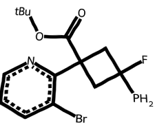 CC(C)(C)OC(=O)C1(c2ncccc2Br)CC(F)(P)C1